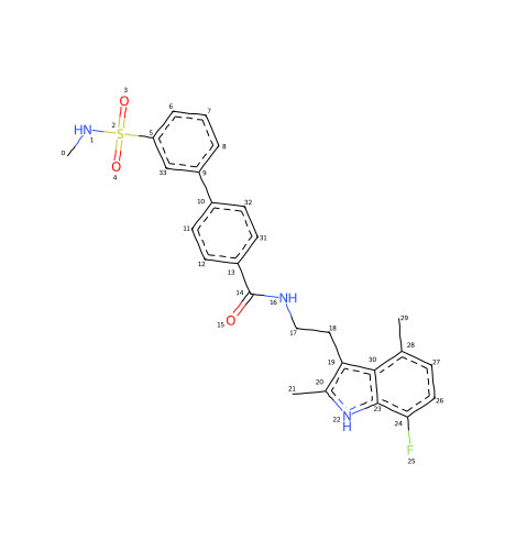 CNS(=O)(=O)c1cccc(-c2ccc(C(=O)NCCc3c(C)[nH]c4c(F)ccc(C)c34)cc2)c1